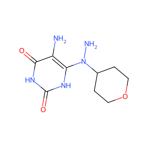 Nc1c(N(N)C2CCOCC2)[nH]c(=O)[nH]c1=O